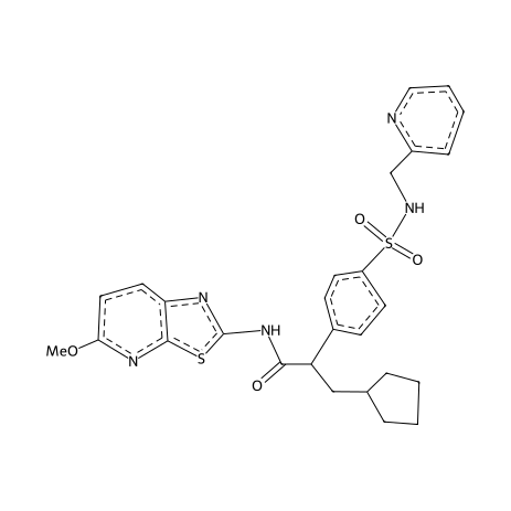 COc1ccc2nc(NC(=O)C(CC3CCCC3)c3ccc(S(=O)(=O)NCc4ccccn4)cc3)sc2n1